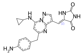 Nc1ccc(Cc2cc(NC3CC3)n3ncc(/C=C4\NC(=O)NC4=O)c3n2)cc1